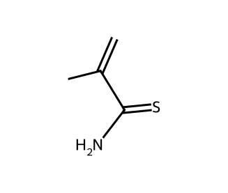 C=C(C)C(N)=S